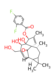 CC1=C[C@]23C(=O)[C@@H](C=C(CO)[C@@H](O)[C@]2(O)[C@H]1OC(=O)c1ccc(F)cc1F)[C@H]1C(C[C@H]3C)C1(C)C